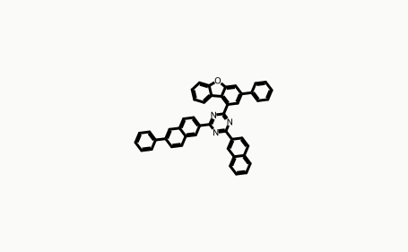 c1ccc(-c2ccc3cc(-c4nc(-c5ccc6ccccc6c5)nc(-c5cc(-c6ccccc6)cc6oc7ccccc7c56)n4)ccc3c2)cc1